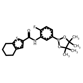 CC1(C)OB(c2ccc(F)c(NC(=O)c3cc4c(s3)CCCC4)c2)OC1(C)C